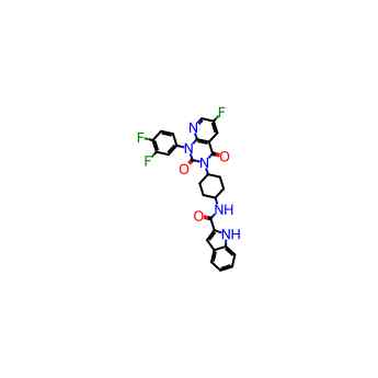 O=C(NC1CCC(n2c(=O)c3cc(F)cnc3n(-c3ccc(F)c(F)c3)c2=O)CC1)c1cc2ccccc2[nH]1